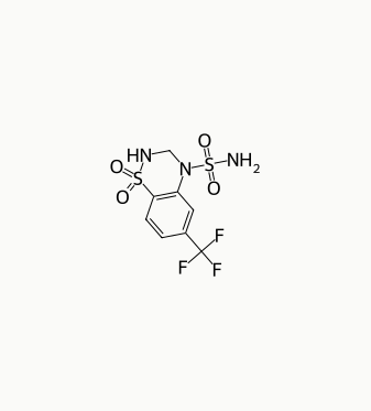 NS(=O)(=O)N1CNS(=O)(=O)c2ccc(C(F)(F)F)cc21